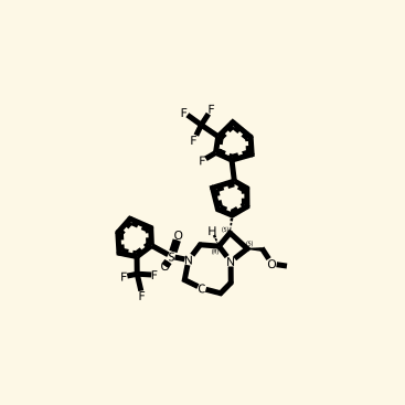 COC[C@@H]1[C@@H](c2ccc(-c3cccc(C(F)(F)F)c3F)cc2)[C@@H]2CN(S(=O)(=O)c3ccccc3C(F)(F)F)CCCCN12